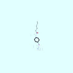 CCCCCC(=O)Nc1ccc(C(=O)NN)cc1